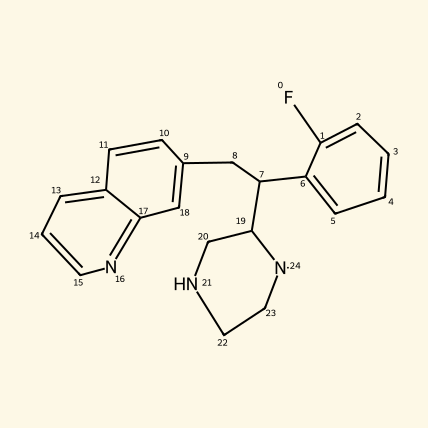 Fc1ccccc1C(Cc1ccc2cccnc2c1)C1CNCC[N]1